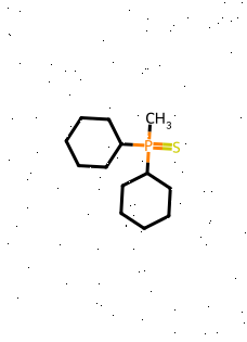 CP(=S)(C1CCCCC1)C1CCCCC1